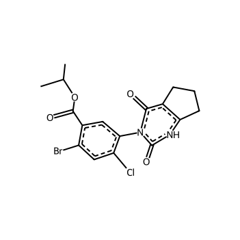 CC(C)OC(=O)c1cc(-n2c(=O)[nH]c3c(c2=O)CCC3)c(Cl)cc1Br